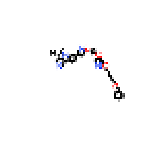 Cn1c2ccncc2c2ccc(-c3ccc(O[C@H]4C[C@H](Oc5ccnc(OCCCCCCOCc6ccccc6)c5)C4)nc3)cc21